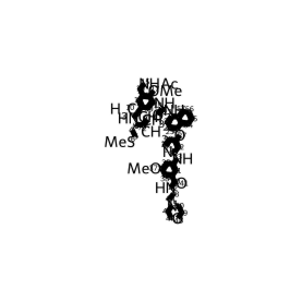 C=C(C)[C@H](CCSC)NC(C)(C)c1cc(CNC(C)=O)c(OC)c(NC(=O)Nc2ccc(Oc3ccnc(Nc4cc(OC)cc(C(=O)NCCN5CCOCC5)c4)c3)c3ccccc23)c1